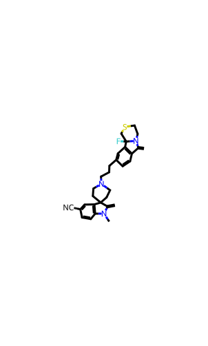 C=C1c2ccc(CCCN3CCC4(CC3)C(=C)N(C)c3ccc(C#N)cc34)cc2C2(F)CSCCN12